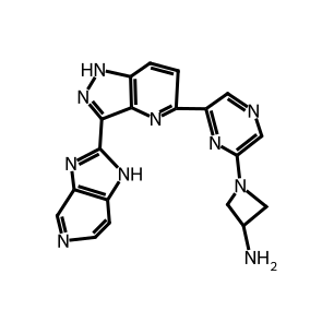 NC1CN(c2cncc(-c3ccc4[nH]nc(-c5nc6cnccc6[nH]5)c4n3)n2)C1